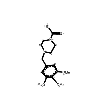 COc1cc(CN2CCN(C(=S)S)CC2)cc(OC)c1OC